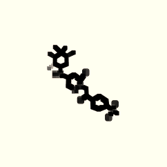 C[C@@H]1[C@@H](C)C(C)(C)[C@@H](C)C[C@H]1Nc1cnn(CC(=O)c2ccc(S(C)(=O)=O)cc2)c(=O)c1